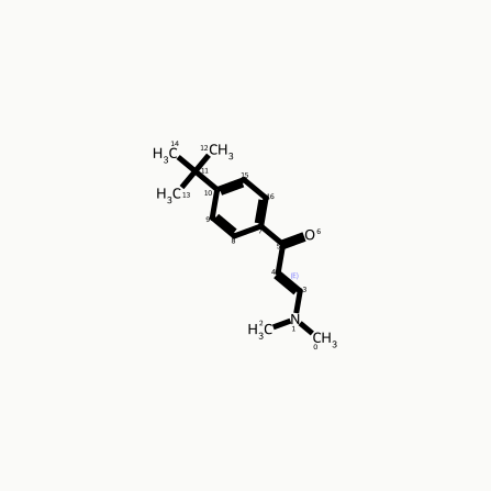 CN(C)/C=C/C(=O)c1ccc(C(C)(C)C)cc1